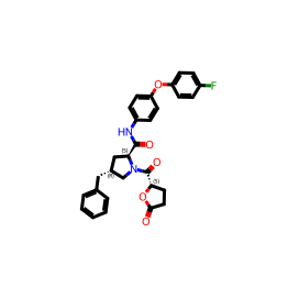 O=C1CC[C@@H](C(=O)N2C[C@H](Cc3ccccc3)C[C@H]2C(=O)Nc2ccc(Oc3ccc(F)cc3)cc2)O1